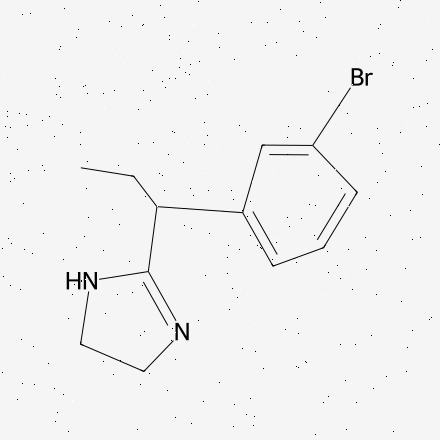 CCC(C1=NCCN1)c1cccc(Br)c1